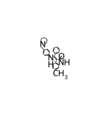 Cc1ccc2c(c1)NC(=O)C2=C(Nc1ccc(CN2CCCCC2)cc1)c1ccccc1